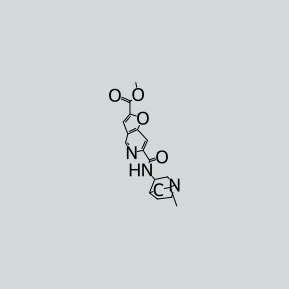 COC(=O)c1cc2cnc(C(=O)NC3CN4CCC3CC4C)cc2o1